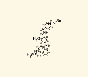 CC1=NC2=C(CO1)c1ccccc1N(C(=O)c1ccc(CNC(=O)C3CCN(CCC(C)(C)C)CC3)c(C)c1)CC2